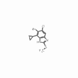 CCC(C)c1c(Cl)cc2nc(SC(F)(F)F)[nH]c2c1C1CC1